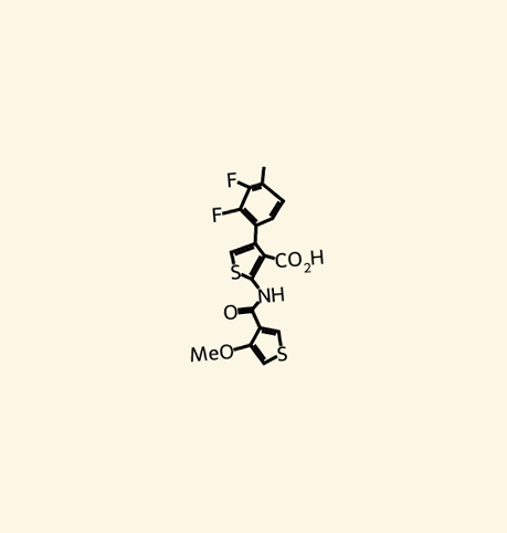 COc1cscc1C(=O)Nc1scc(-c2ccc(C)c(F)c2F)c1C(=O)O